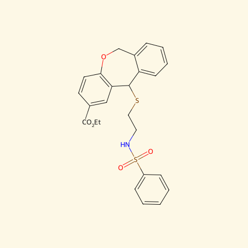 CCOC(=O)c1ccc2c(c1)C(SCCNS(=O)(=O)c1ccccc1)c1ccccc1CO2